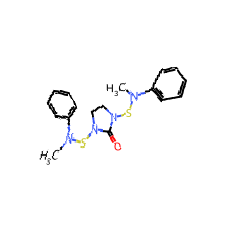 CN(SN1CCN(SN(C)c2ccccc2)C1=O)c1ccccc1